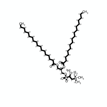 [2H]OC(C[N+](C)(C)C)P(=O)([O-])OC[C@@H](COC(=O)CCCCCCCCCCCCCCCCC)OC(=O)CCCCCCCCCCCCCCCCC